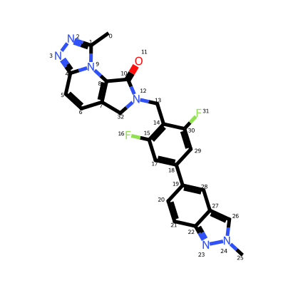 Cc1nnc2ccc3c(n12)C(=O)N(Cc1c(F)cc(-c2ccc4nn(C)cc4c2)cc1F)C3